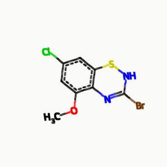 COc1cc(Cl)cc2c1N=C(Br)NS2